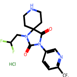 Cl.O=C1N(c2ccc(C(F)(F)F)nc2)C(=O)C2(CCNCC2)N1CC(F)F